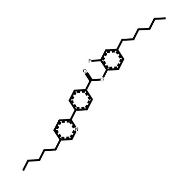 CCCCCCc1ccc(OC(=O)c2ccc(-c3ccc(CCCCC)cn3)cc2)c(F)c1